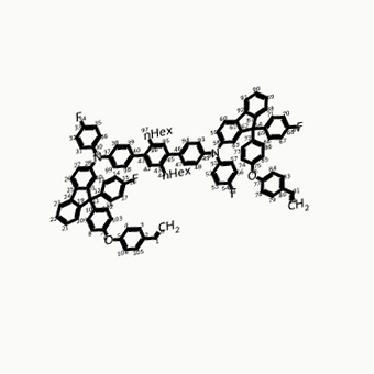 C=Cc1ccc(Oc2ccc(C3(c4ccc(F)cc4)c4ccccc4-c4ccc(N(c5ccc(F)cc5)c5ccc(-c6cc(CCCCCC)c(-c7ccc(N(c8ccc(F)cc8)c8ccc9c(c8)C(c8ccc(F)cc8)(c8ccc(Oc%10ccc(C=C)cc%10)cc8)c8ccccc8-9)cc7)cc6CCCCCC)cc5)cc43)cc2)cc1